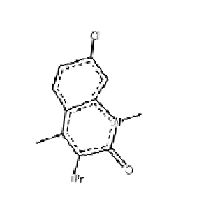 Cc1c(C(C)C)c(=O)n(C)c2cc(Cl)ccc12